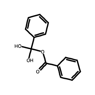 O=C(OC(O)(O)c1ccccc1)c1ccccc1